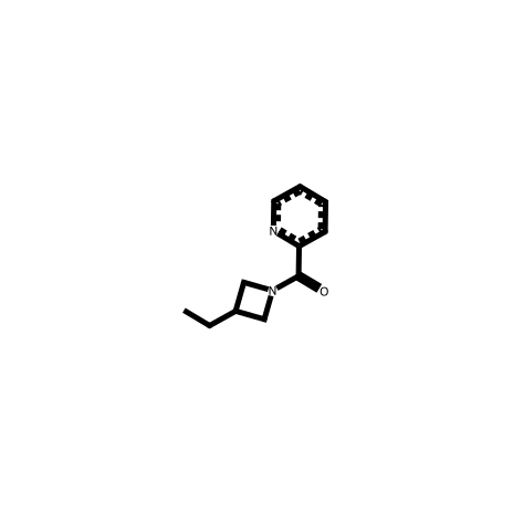 CCC1CN(C(=O)c2ccccn2)C1